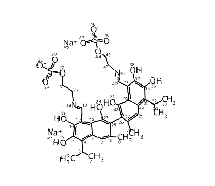 Cc1cc2c(C(C)C)c(O)c(O)c(C=NCCOS(=O)(=O)[O-])c2c(O)c1-c1c(C)cc2c(C(C)C)c(O)c(O)c(C=NCCOS(=O)(=O)[O-])c2c1O.[Na+].[Na+]